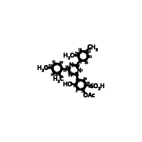 CC(=O)Oc1cc(O)c(-c2nc(-c3ccc(C)cc3C)nc(-c3ccc(C)cc3C)n2)cc1S(=O)(=O)O